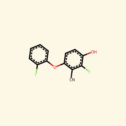 N#Cc1c(Oc2ccccc2F)ccc(O)c1F